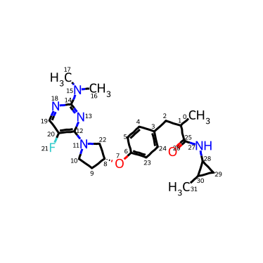 CC(Cc1ccc(O[C@@H]2CCN(c3nc(N(C)C)ncc3F)C2)cc1)C(=O)NC1CC1C